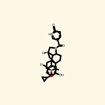 CCc1ccc(O)cc1C12CCN(CC3CC3)C(C)C13CCC1C2[C@@H](CN1C(=O)c1ccc(=O)[nH]c1)C3